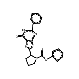 O=C(Oc1ccccc1)N1CCCC1c1nc2c(=O)[nH]c(-c3ccccc3)nc2s1